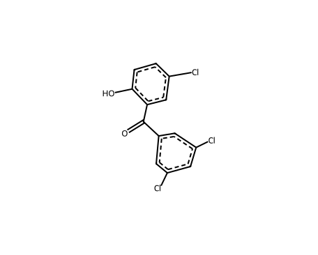 O=C(c1cc(Cl)cc(Cl)c1)c1cc(Cl)ccc1O